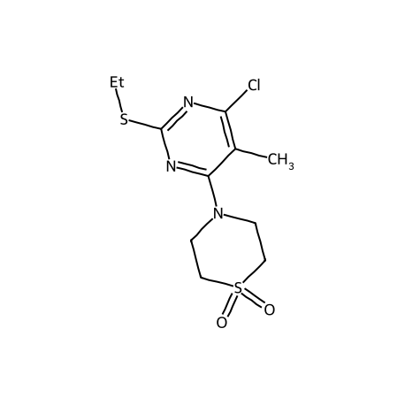 CCSc1nc(Cl)c(C)c(N2CCS(=O)(=O)CC2)n1